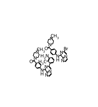 CN1CCN(C(=O)c2ccc(Nc3nc(Br)cn4ccnc34)cc2)CC1.Cc1c(N)cccc1-c1cn2ccnc2c(Nc2ccc(C(=O)N3CCN(C)CC3)cc2)n1